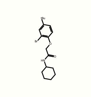 CC(C)(C)c1ccc(OCC(=O)NC2CCCCC2)c(Br)c1